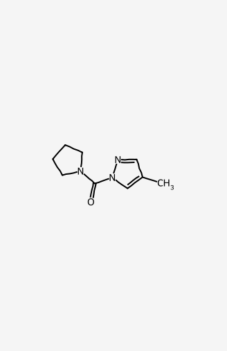 Cc1cnn(C(=O)N2CCCC2)c1